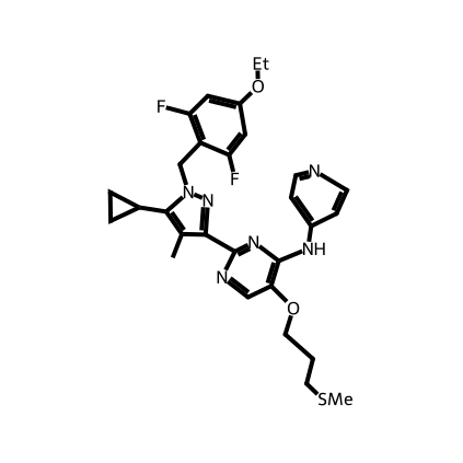 CCOc1cc(F)c(Cn2nc(-c3ncc(OCCCSC)c(Nc4ccncc4)n3)c(C)c2C2CC2)c(F)c1